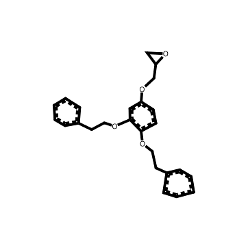 c1ccc(CCOc2ccc(OCC3CO3)cc2OCCc2ccccc2)cc1